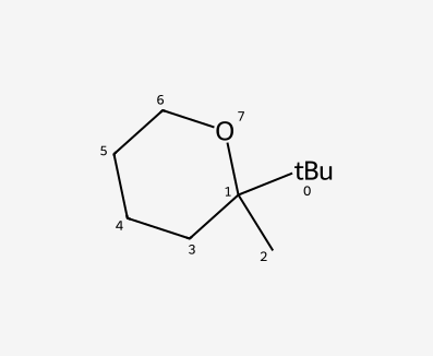 CC(C)(C)C1(C)CCCCO1